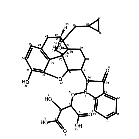 O=C(O)C(O)C(On1c2ccccc2c(=O)n1C1CC[C@@]2(O)[C@H]3Cc4ccc(O)c5c4[C@@]2(CCN3CC2CC2)C1O5)C(=O)O